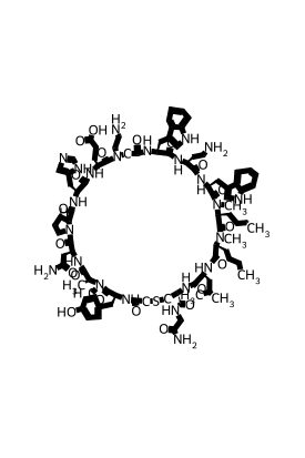 CCCC[C@H]1C(=O)N(C)[C@@H](CCCC)C(=O)N[C@@H](CC(C)C)C(=O)N[C@H](C(=O)NCC(N)=O)CSCC(=O)N[C@@H](Cc2ccc(O)cc2)C(=O)N(C)[C@@H](C)C(=O)N[C@@H](CC(N)=O)C(=O)N2CCC[C@H]2C(=O)N[C@@H](Cc2cnc[nH]2)C(=O)N[C@@H](CCC(=O)O)C(=O)N(CCN)CC(=O)N[C@@H](Cc2c[nH]c3ccccc23)C(=O)N[C@@H](CCN)C(=O)N[C@@H](Cc2c[nH]c3ccccc23)C(=O)N1C